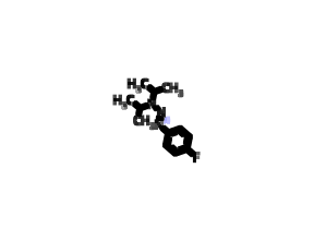 CC(C)N(/N=N/c1ccc(F)cc1)C(C)C